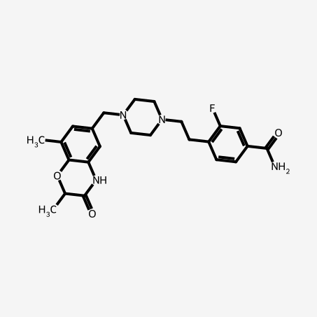 Cc1cc(CN2CCN(CCc3ccc(C(N)=O)cc3F)CC2)cc2c1OC(C)C(=O)N2